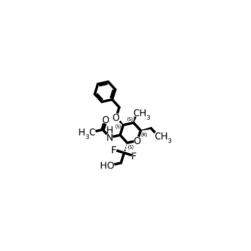 CC[C@H]1O[C@H](C(F)(F)CO)C(NC(C)=O)[C@@H](OCc2ccccc2)[C@H]1C